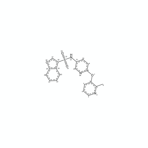 Cc1ncccc1Oc1ccc(NS(=O)(=O)c2coc3ccccc23)cn1